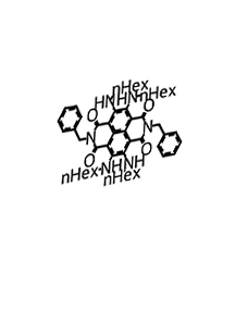 CCCCCCNc1c(NCCCCCC)c2c3c(c(NCCCCCC)c(NCCCCCC)c4c3c1C(=O)N(Cc1ccccc1)C4=O)C(=O)N(Cc1ccccc1)C2=O